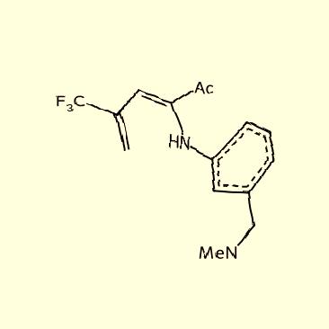 C=C(/C=C(\Nc1cccc(CNC)c1)C(C)=O)C(F)(F)F